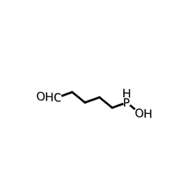 O=CCCCCPO